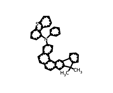 CC1(C)c2ccccc2-c2cc3c(ccc4ccc5cc(N(c6ccccc6)c6cccc7sc8ccccc8c67)ccc5c43)cc21